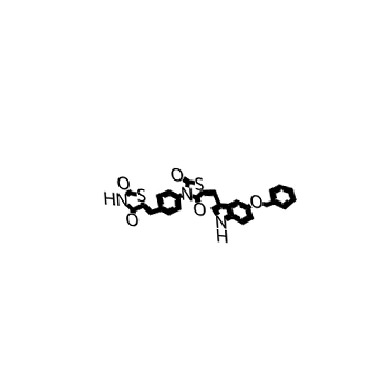 O=C1NC(=O)C(=Cc2ccc(N3C(=O)SC(=Cc4c[nH]c5ccc(OCc6ccccc6)cc45)C3=O)cc2)S1